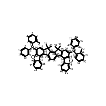 Cc1ccccc1N(c1ccccc1)c1cc2c(c3c1oc1ccccc13)-c1ccc3c(c1C2(C)C)C(C)(C)c1cc(N(c2ccccc2)c2ccccc2C)c2oc4ccccc4c2c1-3